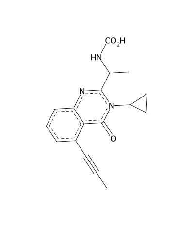 CC#Cc1cccc2nc(C(C)NC(=O)O)n(C3CC3)c(=O)c12